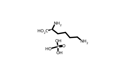 NCCCC[C@H](N)C(=O)O.O=P(O)(O)O